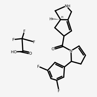 O=C(C1C=C2CNC[C@@H]2C1)N1C=CCC1c1cc(F)cc(F)c1.O=C(O)C(F)(F)F